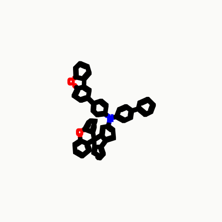 c1ccc(-c2ccc(N(c3ccc(-c4ccc5oc6ccccc6c5c4)cc3)c3ccc4c(c3)C3(c5ccccc5Oc5ccccc53)c3ccccc3-4)cc2)cc1